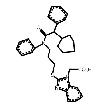 O=C(O)Cn1c(SCCCN(C(=O)C(c2ccccc2)C2CCCCC2)c2ccccc2)nc2ccccc21